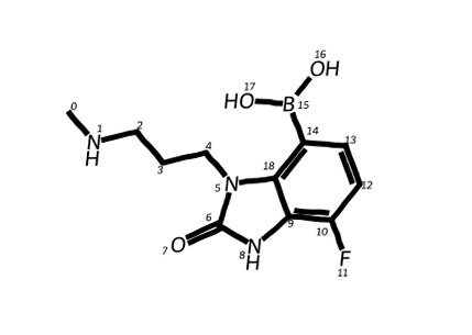 CNCCCn1c(=O)[nH]c2c(F)ccc(B(O)O)c21